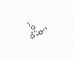 O=C(O)CCc1cccc(NC(=O)c2ccccc2NC(=O)c2ccc(-c3ccco3)cc2)c1